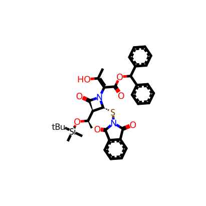 CC(O)=C(C(=O)OC(c1ccccc1)c1ccccc1)N1C(=O)[C@H]([C@@H](C)O[Si](C)(C)C(C)(C)C)[C@H]1SN1C(=O)c2ccccc2C1=O